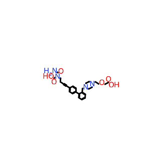 NC(=O)N(CCC#Cc1ccc(-c2ccccc2CN2CCN(CCOCC(=O)O)CC2)cc1)C(=O)O